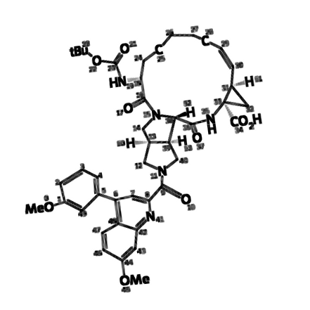 COc1cccc(-c2cc(C(=O)N3C[C@H]4CN5C(=O)[C@H](NC(=O)OC(C)(C)C)CCCCC/C=C\[C@H]6C[C@@]6(C(=O)O)NC(=O)[C@@H]5[C@H]4C3)nc3cc(OC)ccc23)c1